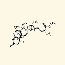 COC(=O)C(C)CCC[C@@H](C)[C@H]1CC[C@H]2[C@@H]3[C@H](O)CC4=CC(=O)CC[C@]4(C)[C@H]3CC[C@]12C